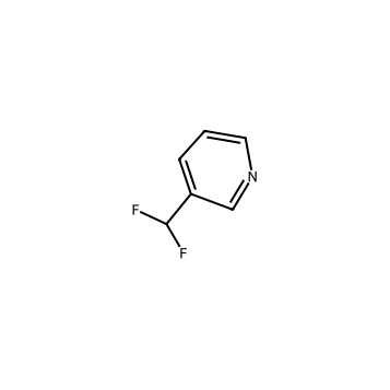 FC(F)c1cccnc1